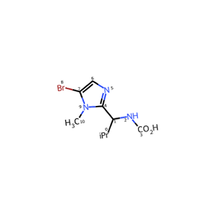 CC(C)C(NC(=O)O)c1ncc(Br)n1C